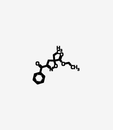 CCOC(=O)C1(CC)CC(C(=O)c2ccccc2)=NO1